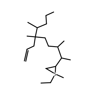 C=CCC(C)(CCC(C)C(C)C1CS1(C)CC)C(C)CCC